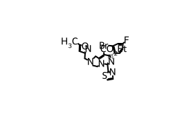 CCOC(=O)C1=C2CN(Cc3cc(C)on3)CCN2C(c2nccs2)=N[C@H]1c1ccc(F)cc1Br